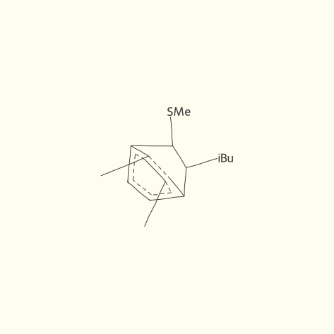 CCC(C)C1c2ccc(c(C)c2C)C1SC